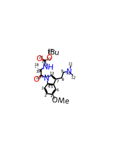 COc1ccc2c(c1)c(CCN(C)C)cn2C(=O)[C@H](C)NC(=O)OC(C)(C)C